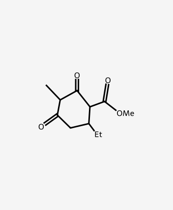 CCC1CC(=O)C(C)C(=O)C1C(=O)OC